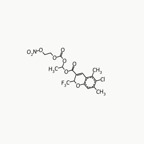 Cc1cc2c(c(C)c1Cl)C=C(C(=O)OC(C)OC(=O)OCCO[N+](=O)[O-])C(C(F)(F)F)O2